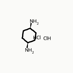 Cl.Cl.N[C@H]1CC[C@@H](N)CC1